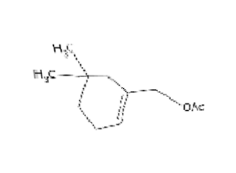 CC(=O)OCC1=CCCC(C)(C)C1